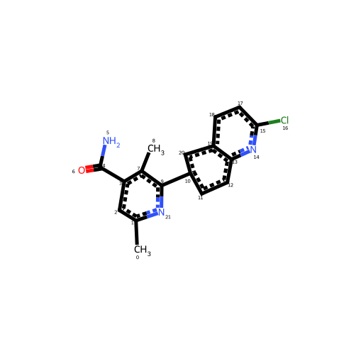 Cc1cc(C(N)=O)c(C)c(-c2ccc3nc(Cl)ccc3c2)n1